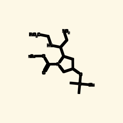 CCCCOC(=O)N1CC(O[Si](C)(C)C(C)(C)C)CC1C(C[N+](=O)[O-])NCC(=O)OCC